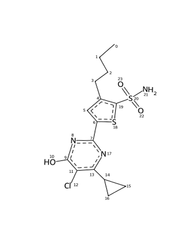 CCCCc1cc(-c2nc(O)c(Cl)c(C3CC3)n2)sc1S(N)(=O)=O